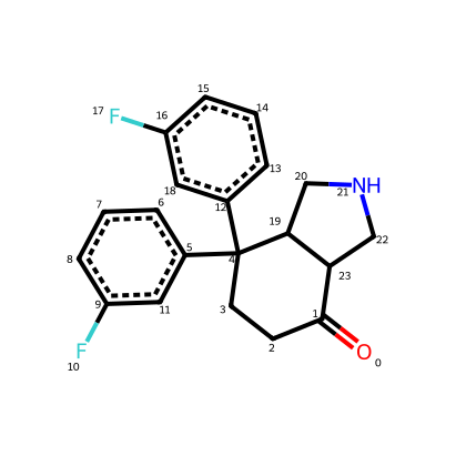 O=C1CCC(c2cccc(F)c2)(c2cccc(F)c2)C2CNCC12